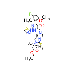 CCOC(=O)CC(C)(C)N1C[C@@H]2CN(CC3=C(C(=O)OCC)[C@H](c4cccc(F)c4C)N=C(c4nccs4)N3)CCN2C1=S